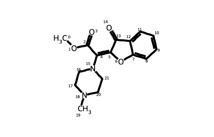 COC(=O)C(=C1Oc2ccccc2C1=O)N1CCN(C)CC1